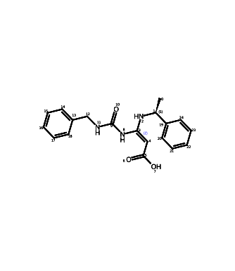 C[C@H](N/C(=C/C(=O)O)NC(=O)NCc1ccccc1)c1ccccc1